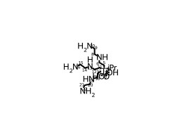 C[CH](C)[Ti](=[O])([OH])([OH])([CH2]CNCCN)([CH2]CNCCN)[CH2]CNCCN